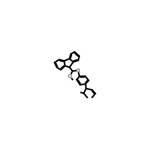 C/C=C\C(c1ccc(OC(OC)C2c3ccccc3-c3ccccc32)cc1)C(C)C